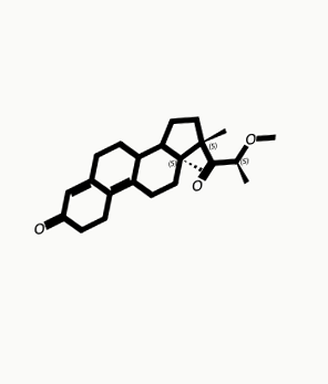 CO[C@@H](C)C(=O)[C@@]1(C)CCC2C3CCC4=CC(=O)CCC4=C3CC[C@@]21C